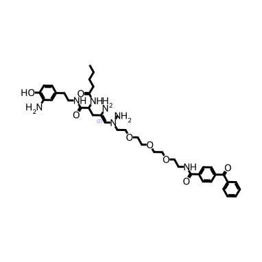 CCCCC(=O)NC(C/C(N)=C/N(N)CCOCCOCCOCCNC(=O)c1ccc(C(=O)c2ccccc2)cc1)C(=O)NCCc1ccc(O)c(N)c1